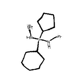 CC(C)N[Si](NC(C)C)(C1CCCCC1)C1CCCC1